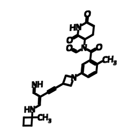 Cc1ccc(N2CC(C#C/C(C=N)=C/NC3(C)CCC3)C2)cc1C(=O)N(C=O)C1CCC(=O)NC1=O